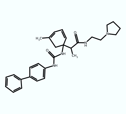 CC1=CC=CC(NC(=O)Nc2ccc(-c3ccccc3)cc2)(C(C)C(=O)NCCN2CCCC2)C1